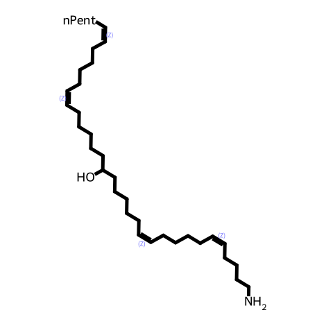 CCCCC/C=C\CCCC/C=C\CCCCCC(O)CCCCC/C=C\CCCC/C=C\CCCCN